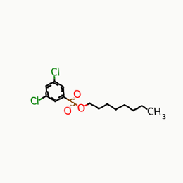 CCCCCCCCOS(=O)(=O)c1cc(Cl)cc(Cl)c1